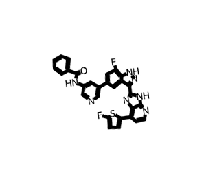 O=C(Nc1cncc(-c2cc(F)c3[nH]nc(-c4nc5c(-c6ccc(F)s6)ccnc5[nH]4)c3c2)c1)c1ccccc1